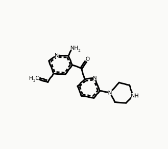 C=Cc1cnc(N)c(C(=O)c2cccc(N3CCNCC3)n2)c1